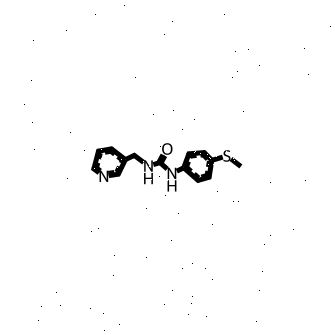 CSc1ccc(NC(=O)NCc2cccnc2)cc1